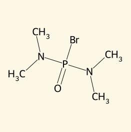 CN(C)P(=O)(Br)N(C)C